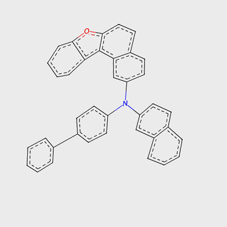 c1ccc(-c2ccc(N(c3ccc4ccccc4c3)c3ccc4ccc5oc6ccccc6c5c4c3)cc2)cc1